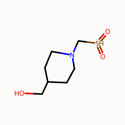 O=[SH](=O)CN1CCC(CO)CC1